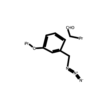 CC(C)CC=O.CC(C)Oc1cccc(CN=[N+]=[N-])c1